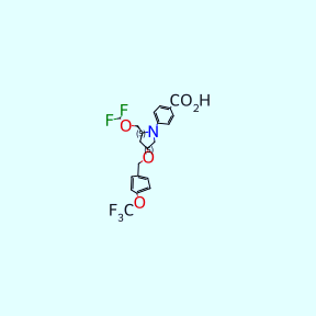 O=C(O)c1ccc(N2C[C@@H](OCc3ccc(OC(F)(F)F)cc3)C[C@H]2COC(F)F)cc1